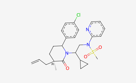 C=CC[C@@]1(C)CCC(c2ccc(Cl)cc2)N(C(CN(c2ccccn2)S(C)(=O)=O)C2CC2)C1=O